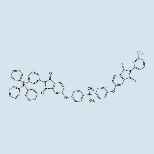 Cc1cccc(N2C(=O)c3ccc(Oc4ccc(C(C)(C)c5ccc(Oc6ccc7c(c6)C(=O)N(c6cccc([PH](c8ccccc8)(c8ccccc8)c8ccccc8)c6)C7=O)cc5)cc4)cc3C2=O)c1